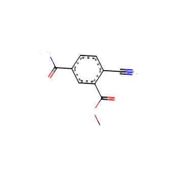 COC(=O)c1cc(C(N)=O)ccc1C#N